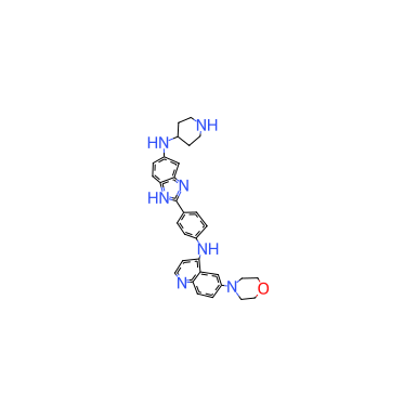 c1cc(Nc2ccc(-c3nc4cc(NC5CCNCC5)ccc4[nH]3)cc2)c2cc(N3CCOCC3)ccc2n1